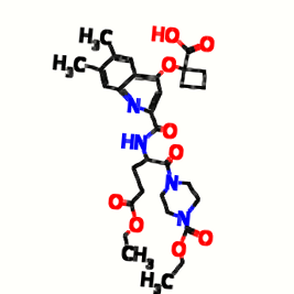 CCOC(=O)CCC(NC(=O)c1cc(OC2(C(=O)O)CCC2)c2cc(C)c(C)cc2n1)C(=O)N1CCN(C(=O)OCC)CC1